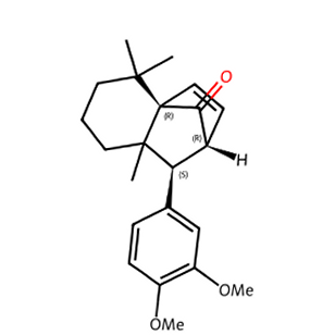 COc1ccc([C@@H]2[C@H]3C=C[C@@]4(C3=O)C(C)(C)CCCC24C)cc1OC